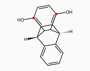 OCC1C(CO)[C@H]2c3ccccc3[C@H]1c1ccccc12